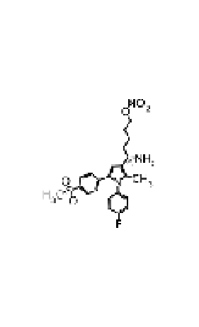 Cc1c([C@@H](N)CCCCO[N+](=O)[O-])cc(-c2ccc(S(C)(=O)=O)cc2)n1-c1ccc(F)cc1